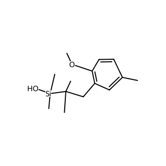 COc1ccc(C)cc1CC(C)(C)[Si](C)(C)O